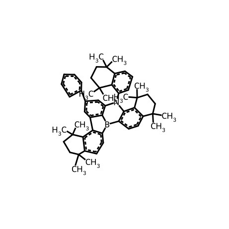 CC1(C)CCC(C)(C)c2c(N3c4cc(-c5ccccc5)cc5c4B(c4ccc6c(c4-5)C(C)(C)CCC6(C)C)c4ccc5c(c43)C(C)(C)CCC5(C)C)cccc21